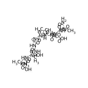 CC(=O)N[C@@H](CC(N)=O)C(=O)NCC(=O)N[C@@H](CCC(=O)O)C(=O)NCC(=O)NC(C(=O)NCC(=O)N1CCC[C@H]1C(=O)NCC(=O)NC(C(=O)NCC(=O)N[C@@H](CC(C)C)C(=O)NCC(=O)O)C(C)O)C(C)C